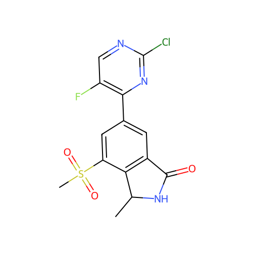 CC1NC(=O)c2cc(-c3nc(Cl)ncc3F)cc(S(C)(=O)=O)c21